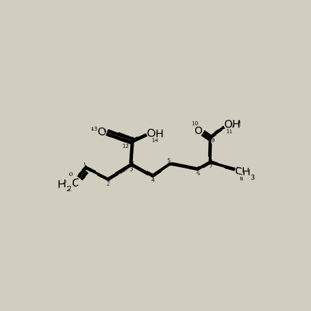 C=CCC(CCCC(C)C(=O)O)C(=O)O